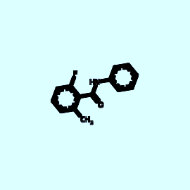 Cc1cccc(F)c1C(=O)Nc1ccccc1